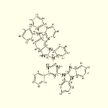 c1ccc(-c2nc(-n3c4ccccc4n4c5ccccc5nc34)nc(-n3c4ccccc4n4c5cc([Si](c6ccccc6)(c6ccccc6)c6ccccc6)ccc5nc34)n2)cc1